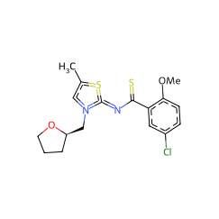 COc1ccc(Cl)cc1C(=S)/N=c1\sc(C)cn1C[C@H]1CCCO1